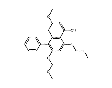 COCCc1c(C(=O)O)c(OCOC)cc(OCOC)c1-c1ccccc1